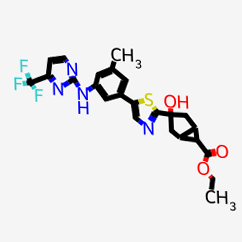 CCOC(=O)C1C2CC(O)(c3ncc(-c4cc(C)cc(Nc5nccc(C(F)(F)F)n5)c4)s3)CC21